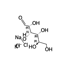 O=C[C@H](O)[C@@H](O)[C@H](O)[C@H](O)CO.[Cl-].[K+].[Na][Cl]